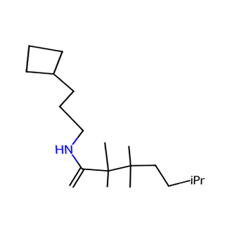 C=C(NCCCC1CCC1)C(C)(C)C(C)(C)CCC(C)C